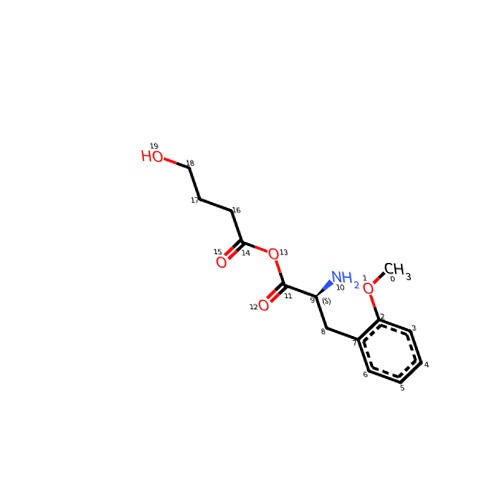 COc1ccccc1C[C@H](N)C(=O)OC(=O)CCCO